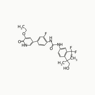 CCOc1cc(-c2ccc(NC(=O)Nc3ccc(C(C)(C)CO)c(C(F)(F)F)c3)c(F)c2)c[nH]c1=O